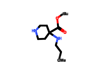 COCCNC1(C(=O)OC(C)(C)C)CCNCC1